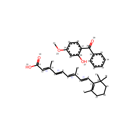 CC1=C(/C=C/C(C)=C/C=C/C(C)=C/C(=O)O)C(C)(C)CCC1.COc1ccc(C(=O)c2ccccc2)c(O)c1